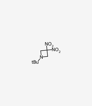 CC(C)(C)N1CC([N+](=O)[O-])([N+](=O)[O-])C1